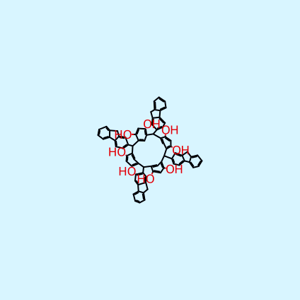 Oc1cc(O)c2cc1C(c1ccc3c(c1)Cc1ccccc1-3)c1cc(c(O)cc1O)C(c1ccc3c(c1)Cc1ccccc1-3)c1cc(c(O)cc1O)C(c1ccc3c(c1)Cc1ccccc1-3)c1cc(c(O)cc1O)C2c1ccc2c(c1)Cc1ccccc1-2